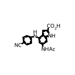 CC(=O)Nc1cc(Nc2ccc(C#N)cc2)c2cc(C(=O)O)[nH]c2c1